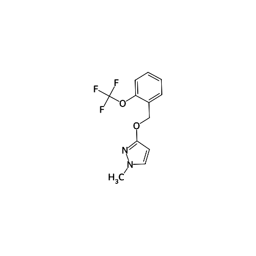 Cn1ccc(OCc2ccccc2OC(F)(F)F)n1